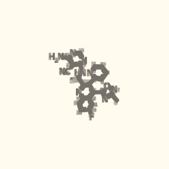 Cc1noc(-c2c(-c3ccccn3)c([C@H](C)Nc3ncnc(N)c3C#N)nc3ccc(F)cc23)n1